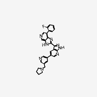 Fc1ccccc1-c1cncc2[nH]c(-c3n[nH]c4ncc(-c5cncc(CN6CCCC6)c5)cc34)nc12